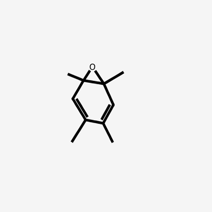 CC1=CC2(C)OC2(C)C=C1C